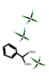 COC(OC)c1ccccc1.F[B-](F)(F)F.F[B-](F)(F)F.F[B-](F)(F)F